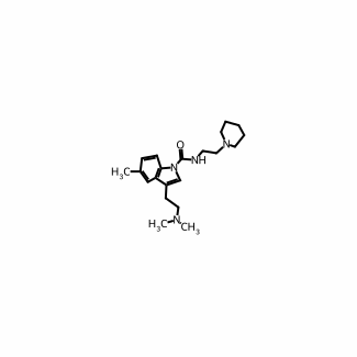 Cc1ccc2c(c1)c(CCN(C)C)cn2C(=O)NCCN1CCCCC1